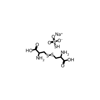 NC(CSSCC(N)C(=O)O)C(=O)O.O=S(=O)([O-])S.[Na+]